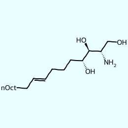 CCCCCCCCC/C=C/CCC[C@@H](O)[C@@H](O)[C@@H](N)CO